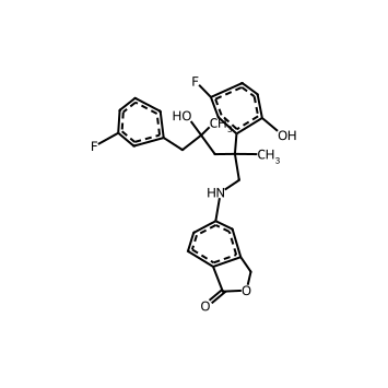 CC(O)(Cc1cccc(F)c1)CC(C)(CNc1ccc2c(c1)COC2=O)c1cc(F)ccc1O